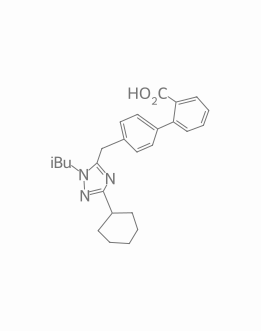 CCC(C)n1nc(C2CCCCC2)nc1Cc1ccc(-c2ccccc2C(=O)O)cc1